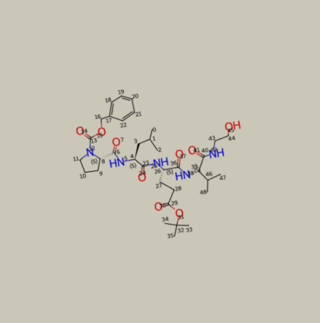 CC(C)C[C@H](NC(=O)[C@@H]1CCCN1C(=O)OCc1ccccc1)C(=O)N[C@@H](CCC(=O)OC(C)(C)C)C(=O)N[C@H](C(=O)NCCO)C(C)C